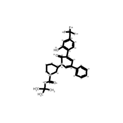 CC(C)(C)OC(=O)N1CCCC(n2cc(-c3ccccc3)cc(-c3ccc(C(F)(F)F)cc3O)c2=O)C1